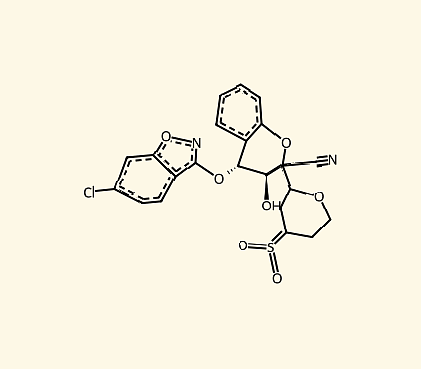 N#CC1(C2CC(=S(=O)=O)CCO2)Oc2ccccc2[C@@H](Oc2noc3cc(Cl)ccc23)[C@@H]1O